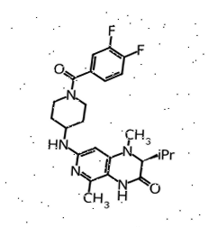 Cc1nc(NC2CCN(C(=O)c3ccc(F)c(F)c3)CC2)cc2c1NC(=O)[C@H](C(C)C)N2C